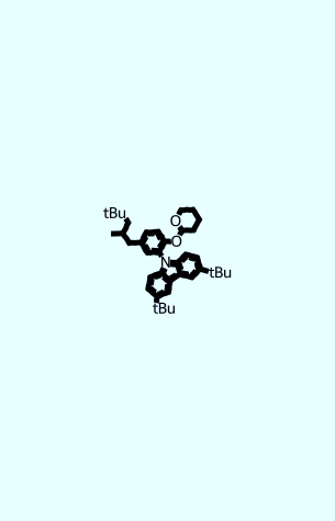 CC(Cc1ccc(OC2CCCCO2)c(-n2c3ccc(C(C)(C)C)cc3c3cc(C(C)(C)C)ccc32)c1)CC(C)(C)C